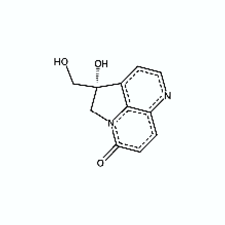 O=c1ccc2nccc3c2n1C[C@@]3(O)CO